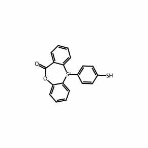 O=C1Oc2ccccc2[S+](c2ccc(S)cc2)c2ccccc21